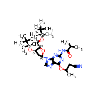 CC(CC#N)Oc1nc(NC(=O)C(C)C)nc2c1ncn2[C@H]1C[C@H](O[Si](C)(C)C(C)(C)C)[C@@H](CO[Si](C)(C)C(C)(C)C)O1